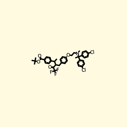 CC(c1ccc(C(=O)OC(C)(C)C)cc1)C(Cc1ccc(OCCN(C)C(C)(c2ccc(Cl)cc2)c2ccc(Cl)cc2)cc1)C(=O)C(F)(F)F